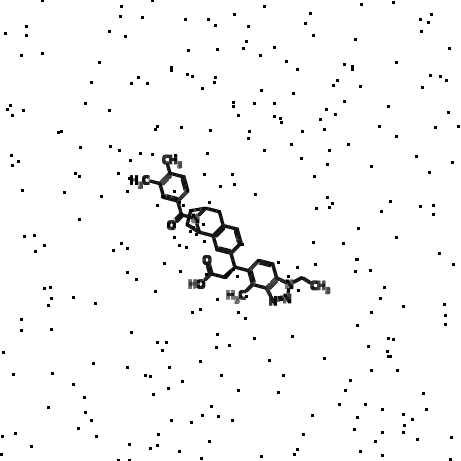 CCn1nnc2c(C)c([C@@H](CC(=O)O)c3ccc4c(c3)C3CCC(C4)N3C(=O)c3ccc(C)c(C)c3)ccc21